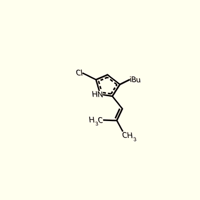 CCC(C)c1cc(Cl)[nH]c1C=C(C)C